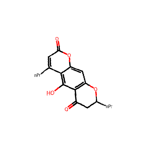 CCCc1cc(=O)oc2cc3c(c(O)c12)C(=O)CC(CCC)O3